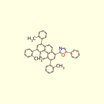 Cc1ccccc1-c1cc(-c2ncc(-c3ccccc3)o2)c2ccc3c(-c4ccccc4C)cc(-c4ccccc4C)c4ccc1c2c34